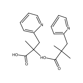 CC(C)(Cc1ccccn1)C(=O)O.CC(C)(Cc1ccccn1)C(=O)O